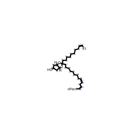 CC/C=C\CCCCCCCCC1(CCCCCCCC/C=C\C/C=C\CCCCC)O[C@H]2CC(O)C[C@H]2O1